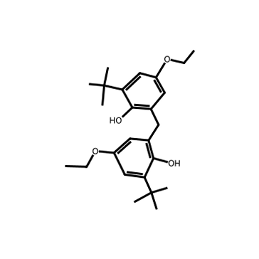 CCOc1cc(Cc2cc(OCC)cc(C(C)(C)C)c2O)c(O)c(C(C)(C)C)c1